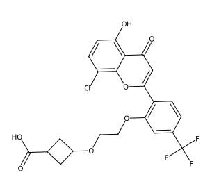 O=C(O)C1CC(OCCOc2cc(C(F)(F)F)ccc2-c2cc(=O)c3c(O)ccc(Cl)c3o2)C1